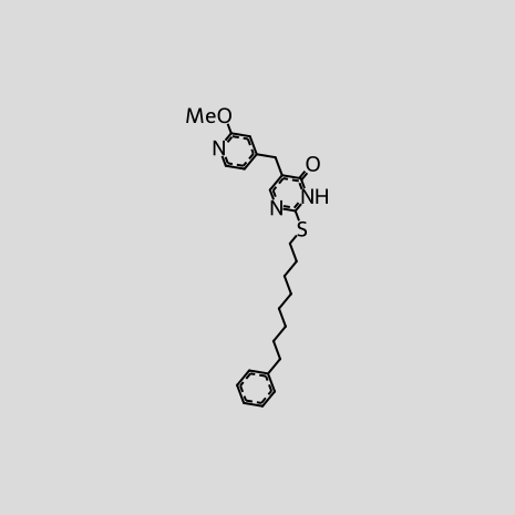 COc1cc(Cc2cnc(SCCCCCCCCc3ccccc3)[nH]c2=O)ccn1